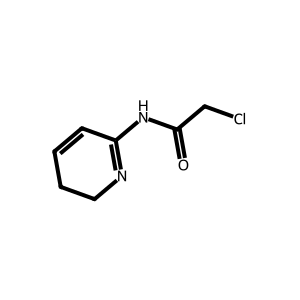 O=C(CCl)NC1=NCCC=C1